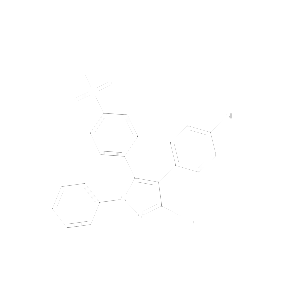 CS(=O)(=O)c1ccc(-c2c(-c3ccc(N)cc3)c(C(F)(F)F)nn2-c2ccccc2)cc1